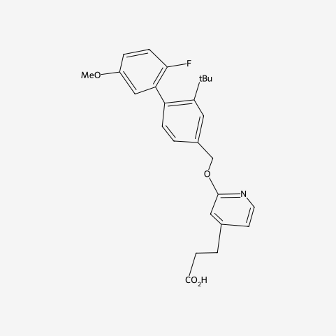 COc1ccc(F)c(-c2ccc(COc3cc(CCC(=O)O)ccn3)cc2C(C)(C)C)c1